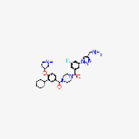 NCc1cn(-c2cc(F)cc(C(=O)N3CCN(C(=O)c4ccc(O[C@H]5CCNC5)c(C5CCCCC5)c4)CC3)c2)nn1